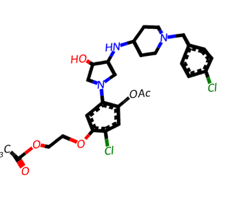 CC(=O)Oc1cc(Cl)c(OCCOC(=O)C(F)(F)F)cc1N1CC(O)C(NC2CCN(Cc3ccc(Cl)cc3)CC2)C1